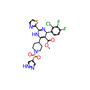 COC(=O)C1=C(C2CCN(S(=O)(=O)c3cn[nH]c3)CC2)NC(c2nccs2)=NC1c1ccc(F)c(F)c1Cl